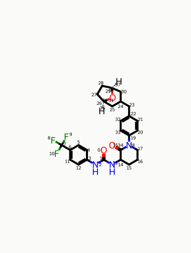 O=C(Nc1ccc(C(F)(F)F)cc1)NC1CCCN(c2ccc(CC3C[C@H]4CC[C@@H](C3)O4)cc2)C1=O